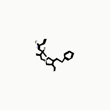 C=C/C(F)=C\C(C)(F)C(=C)CN1CC(CC)C(CCc2ccccc2)C1